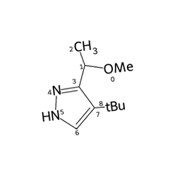 COC(C)c1n[nH]cc1C(C)(C)C